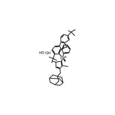 Cl.Cl.[CH2]=[Zr]([CH3])([C]1=C(C)C(CC23CC4CC(CC(C4)C2)C3)=CC1C)([c]1ccccc1)[c]1c(C(C)(C)C)ccc2c1Cc1cc(C(C)(C)C)ccc1-2